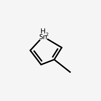 CC1=[CH][SnH2][CH]=C1